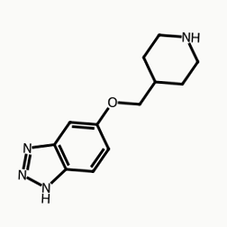 c1cc2[nH]nnc2cc1OCC1CCNCC1